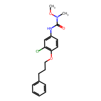 CON(C)C(=O)Nc1ccc(OCCCc2ccccc2)c(Cl)c1